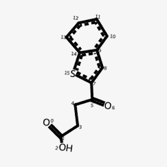 O=C(O)CCC(=O)c1cc2ccccc2s1